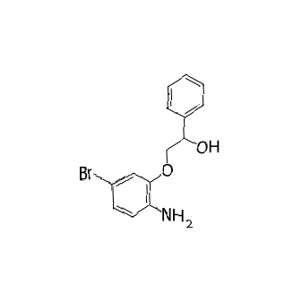 Nc1ccc(Br)cc1OCC(O)c1ccccc1